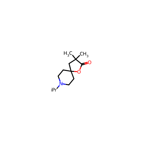 CC(C)N1CCC2(CC1)CC(C)(C)C(=O)O2